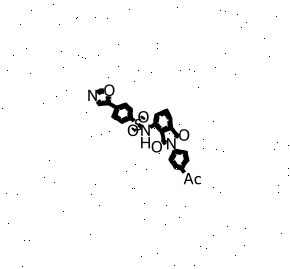 CC(=O)c1ccc(N2C(=O)c3cccc(NS(=O)(=O)c4ccc(-c5cnco5)cc4)c3C2=O)cc1